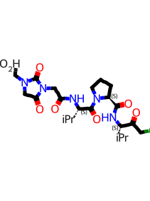 CC(C)[C@H](NC(=O)[C@@H]1CCCN1C(=O)[C@@H](NC(=O)CN1C(=O)CN(CC(=O)O)C1=O)C(C)C)C(=O)CCl